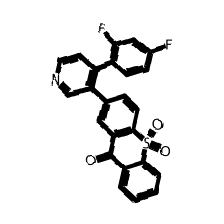 O=C1c2ccccc2S(=O)(=O)c2ccc(-c3cnccc3-c3ccc(F)cc3F)cc21